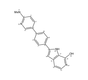 CNc1ccc(-c2ccc(-c3cc4ccnc(O)c4[nH]3)cc2)cn1